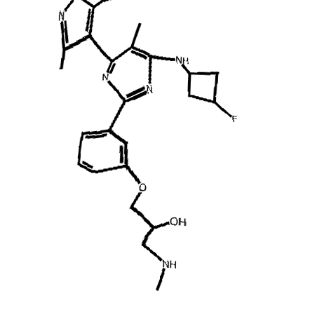 CNCC(O)COc1cccc(-c2nc(NC3CC(F)C3)c(C)c(-c3c(C)noc3C)n2)c1